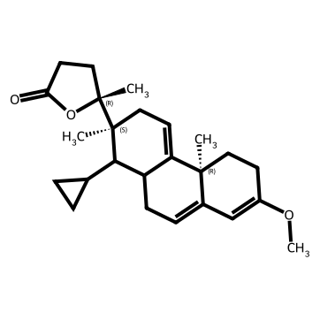 COC1=CC2=CCC3C(=CC[C@](C)([C@@]4(C)CCC(=O)O4)C3C3CC3)[C@@]2(C)CC1